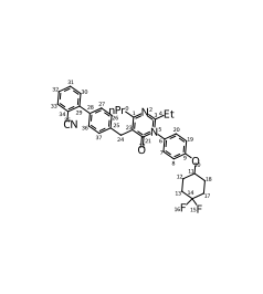 CCCc1nc(CC)n(-c2ccc(OC3CCC(F)(F)CC3)cc2)c(=O)c1Cc1ccc(-c2ccccc2C#N)cc1